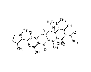 CCCN1CCC(C)C1c1cc(O)c2c(c1Cl)C[C@H]1C[C@H]3[C@H](N(C)C)C(O)=C(C(N)=O)C(=O)[C@@]3(O)C(O)=C1C2=O